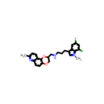 Cc1ccc2c3c(ccc2n1)OCC(CNCCCc1cn(C)c2c(F)cc(F)cc12)O3